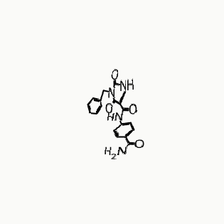 NC(=O)c1ccc(NC(=O)c2c[nH]c(=O)n(Cc3ccccc3)c2=O)cc1